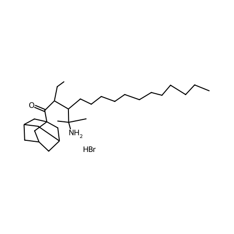 Br.CCCCCCCCCCCCC(C(CC)C(=O)C12CC3CC(CC(C3)C1)C2)C(C)(C)N